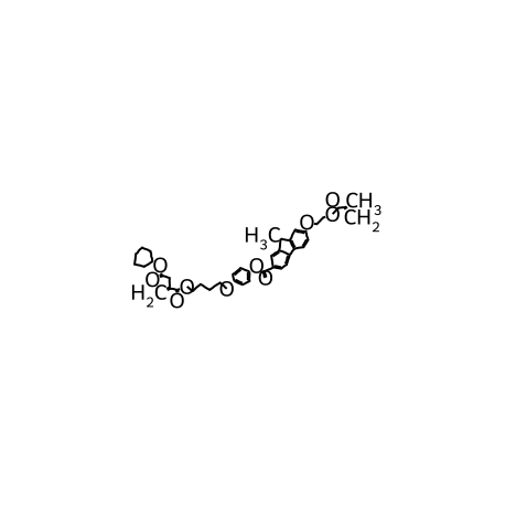 C=C(C)C(=O)OCCOc1ccc2c(c1)C(C)c1cc(C(=O)Oc3ccc(OCCCCOC(=O)C(=C)CC(=O)OC4CCCCC4)cc3)ccc1-2